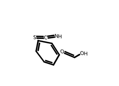 N=C=S.O=CO.c1ccccc1